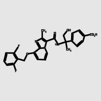 Cc1nc2c(OCc3c(F)cccc3F)cccn2c1C(=O)NC(C)(CO)c1ccc(C(=O)O)cc1